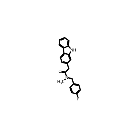 CN(Cc1ccc(F)cc1)C(=O)Cc1ccc2c(c1)[nH]c1ccccc12